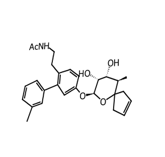 CC(=O)NCCc1ccc(O[C@@H]2OC3(CC=CC3)[C@H](C)[C@@H](O)[C@H]2O)cc1-c1cccc(C)c1